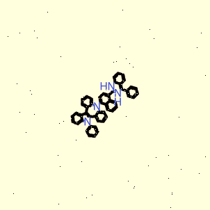 C1=CC2=C(c3ccccc3)NC(c3ccc(N4c5ccccc5-c5c(n(-c6ccccc6)c6ccccc56)-c5ccccc54)c4ccccc34)NC2C=C1